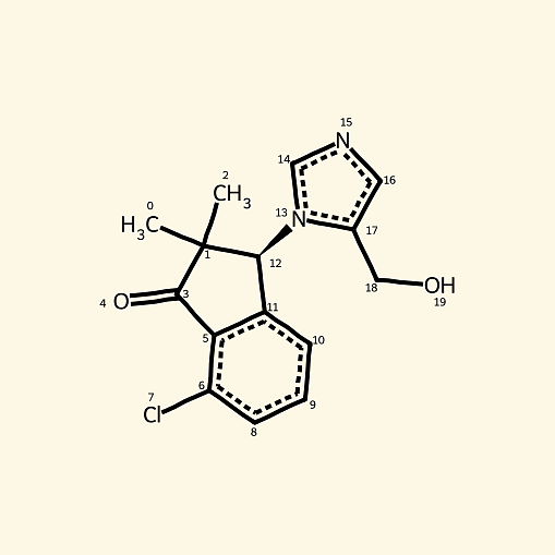 CC1(C)C(=O)c2c(Cl)cccc2[C@@H]1n1cncc1CO